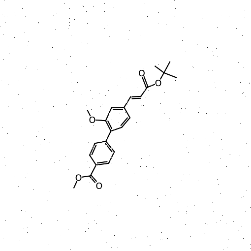 COC(=O)c1ccc(-c2ccc(C=CC(=O)OC(C)(C)C)cc2OC)cc1